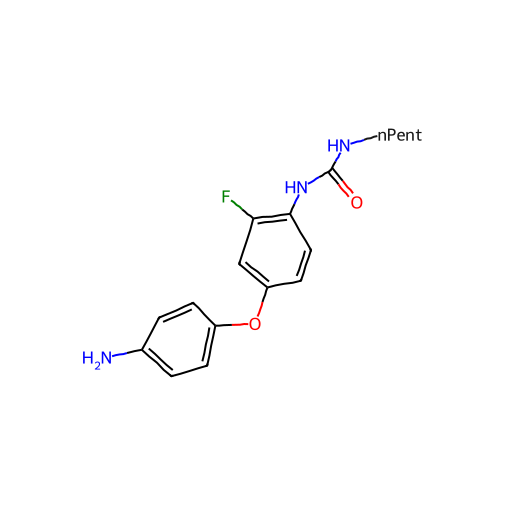 CCCCCNC(=O)Nc1ccc(Oc2ccc(N)cc2)cc1F